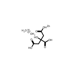 O.O.O.O=C(O)CC(O)(CC(=O)O)C(=O)O.[Zn]